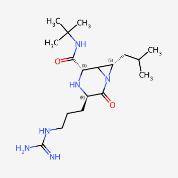 CC(C)C[C@H]1C2[C@@H](C(=O)NC(C)(C)C)N[C@H](CCCNC(=N)N)C(=O)N21